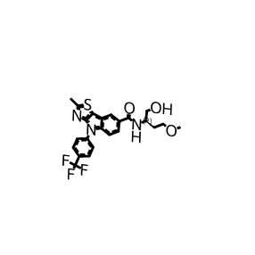 COCC[C@H](CO)NC(=O)c1ccc2c(c1)c1sc(C)nc1n2-c1ccc(C(F)(F)F)cc1